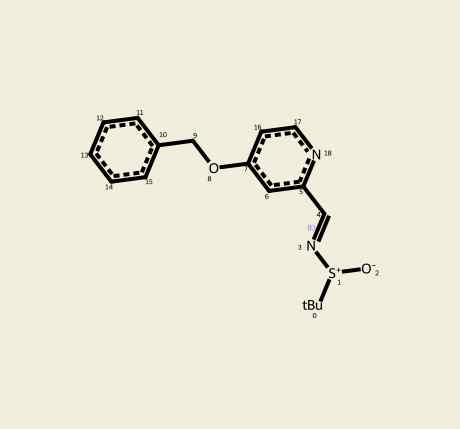 CC(C)(C)[S+]([O-])/N=C/c1cc(OCc2ccccc2)ccn1